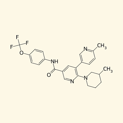 Cc1ccc(-c2cc(C(=O)Nc3ccc(OC(F)(F)F)cc3)cnc2N2CCCC(C)C2)cn1